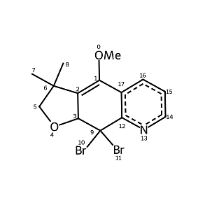 COC1=C2C(OCC2(C)C)C(Br)(Br)c2ncccc21